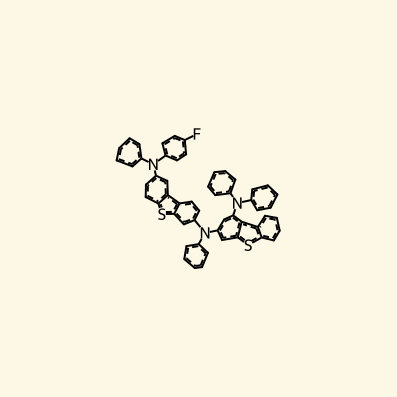 Fc1ccc(N(c2ccccc2)c2ccc3sc4cc(N(c5ccccc5)c5cc(N(c6ccccc6)c6ccccc6)c6c(c5)sc5ccccc56)ccc4c3c2)cc1